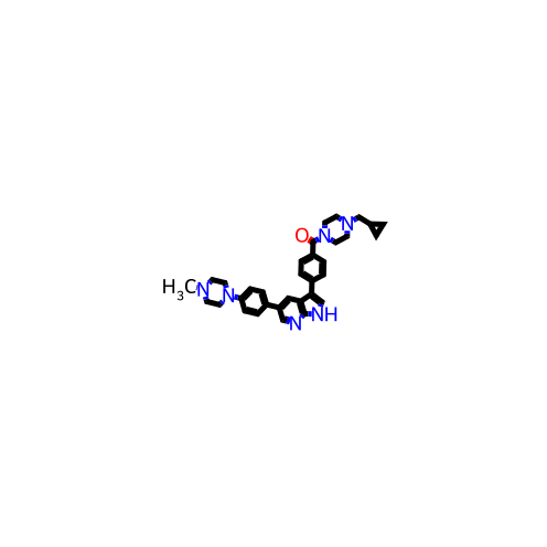 CN1CCN(c2ccc(-c3cnc4[nH]cc(-c5ccc(C(=O)N6CCN(CC7CC7)CC6)cc5)c4c3)cc2)CC1